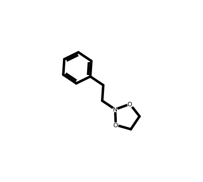 c1ccc(CCN2OCCO2)cc1